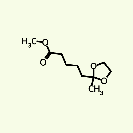 COC(=O)CCCCC1(C)OCCO1